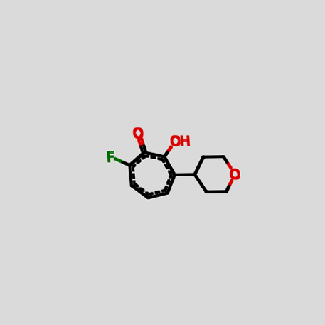 O=c1c(F)cccc(C2CCOCC2)c1O